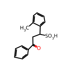 Cc1ccccc1C(CC(=O)c1ccccc1)S(=O)(=O)O